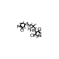 CC(C)(CNSc1ccc(F)c(Cl)c1)CNc1c(Cl)cncc1Cl